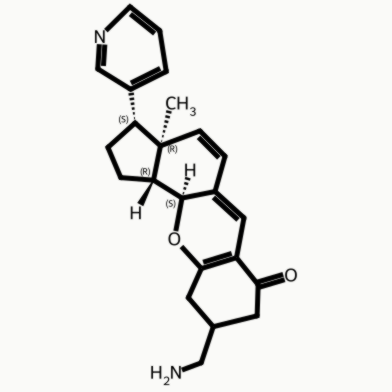 C[C@]12C=CC3=CC4=C(CC(CN)CC4=O)O[C@H]3[C@@H]1CC[C@@H]2c1cccnc1